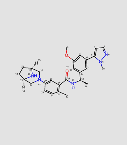 COc1cc(-c2ccnn2C)cc([C@@H](C)NC(=O)c2cc(N3C[C@H]4CC[C@@H](C3)N4)ccc2C)c1